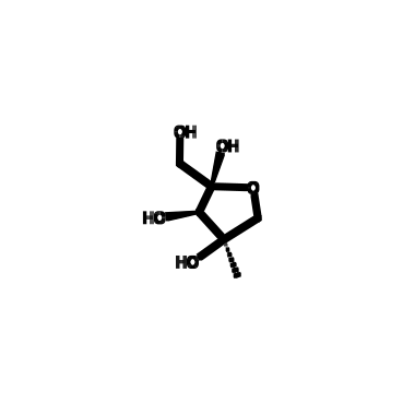 C[C@@]1(O)CO[C@@](O)(CO)[C@@H]1O